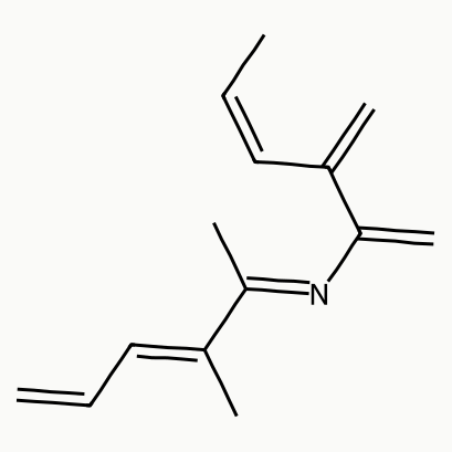 C=C/C=C(C)/C(C)=N/C(=C)C(=C)/C=C\C